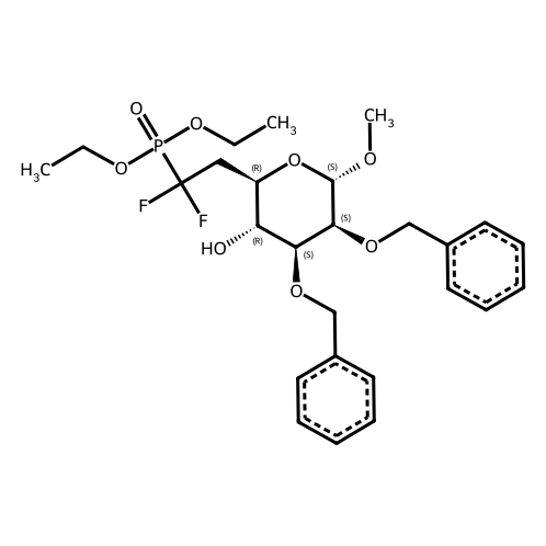 CCOP(=O)(OCC)C(F)(F)C[C@H]1O[C@H](OC)[C@@H](OCc2ccccc2)[C@@H](OCc2ccccc2)[C@@H]1O